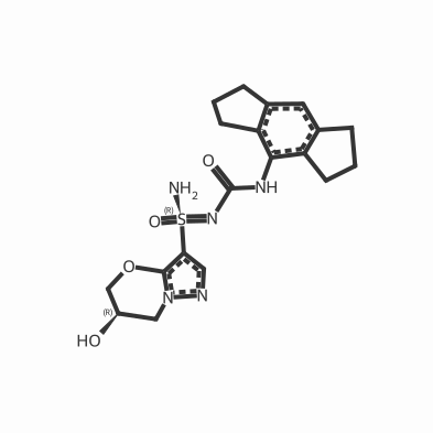 N[S@@](=O)(=NC(=O)Nc1c2c(cc3c1CCC3)CCC2)c1cnn2c1OC[C@H](O)C2